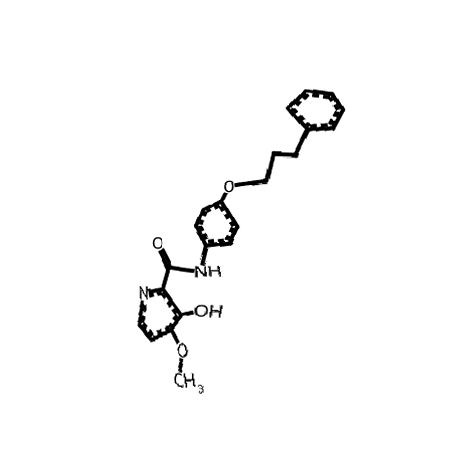 COc1ccnc(C(=O)Nc2ccc(OCCCc3ccccc3)cc2)c1O